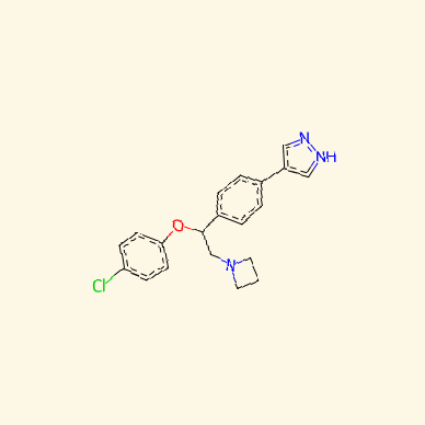 Clc1ccc(OC(CN2CCC2)c2ccc(-c3cn[nH]c3)cc2)cc1